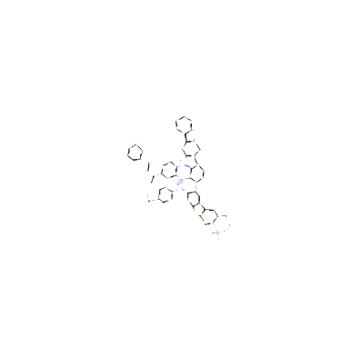 C=C1C=C(c2ccccc2)Oc2cc3c(cc21)B1c2c(ccc4c5cc6sc7ccccc7c6cc5n-3c24)-c2cc3c(cc2N1c1ccc(C(C)(C)C)cc1)sc1cc2c(cc13)C(C)(C)CCC2(C)C